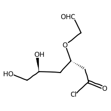 O=CCO[C@H](CC(=O)Cl)C[C@H](O)CO